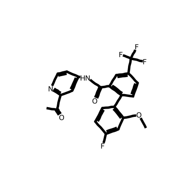 COc1cc(F)ccc1-c1ccc(C(F)(F)F)cc1C(=O)Nc1ccnc(C(C)=O)c1